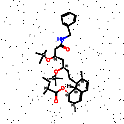 CC[C@H](C)C(=O)O[C@H]1C[C@@H](C)C=C2C=C[C@H](C)[C@H](CC[C@H](C[C@H](CC(=O)NCc3ccccc3)O[Si](C)(C)C)O[Si](C)(C)C)[C@H]21